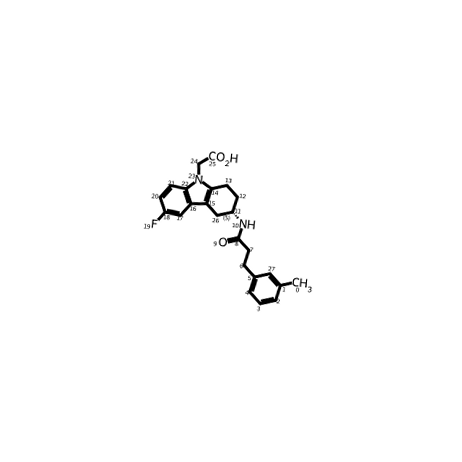 Cc1cccc(CCC(=O)N[C@H]2CCc3c(c4cc(F)ccc4n3CC(=O)O)C2)c1